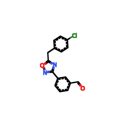 O=Cc1cccc(-c2noc(Cc3ccc(Cl)cc3)n2)c1